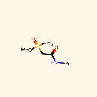 COP(C)(=O)CC(=O)NC(C)C